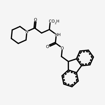 O=C(NC(CC(=O)N1CCCCC1)C(=O)O)OCC1c2ccccc2-c2ccccc21